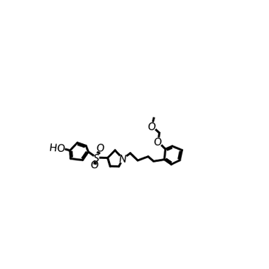 COCOc1ccccc1CCCCN1CCC(S(=O)(=O)c2ccc(O)cc2)C1